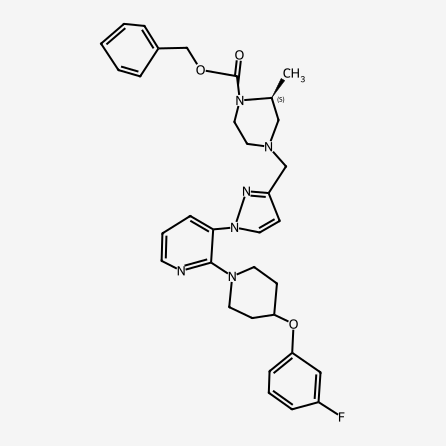 C[C@H]1CN(Cc2ccn(-c3cccnc3N3CCC(Oc4cccc(F)c4)CC3)n2)CCN1C(=O)OCc1ccccc1